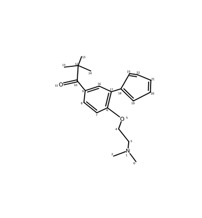 CN(C)CCOc1ccc(C(=O)C(C)(C)C)cc1-c1ccccc1